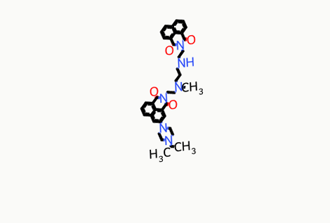 CC(C)N1CCN(c2cc3c4c(cccc4c2)C(=O)N(CCN(C)CCCNCCN2C(=O)c4cccc5cccc(c45)C2=O)C3=O)CC1